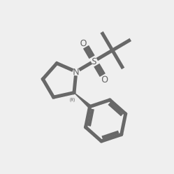 CC(C)(C)S(=O)(=O)N1CCC[C@@H]1c1ccccc1